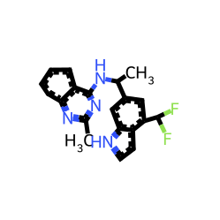 Cc1nc(NC(C)c2cc(C(F)F)c3cc[nH]c3c2)c2ccccc2n1